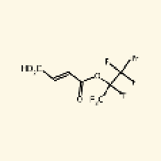 CC(C)C(F)(F)C(F)(OC(=O)C=CC(=O)O)C(F)(F)F